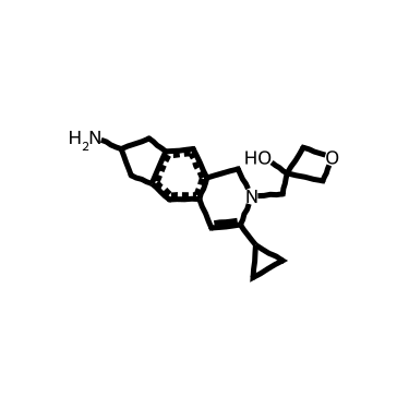 NC1Cc2cc3c(cc2C1)CN(CC1(O)COC1)C(C1CC1)=C3